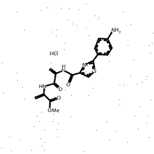 C=C(NC(=O)c1csc(-c2ccc(N)cc2)n1)C(=O)NC(=C)C(=O)OC.Cl